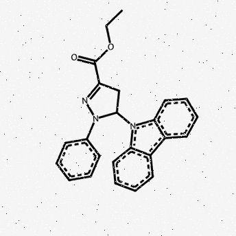 CCOC(=O)C1=NN(c2ccccc2)C(n2c3ccccc3c3ccccc32)C1